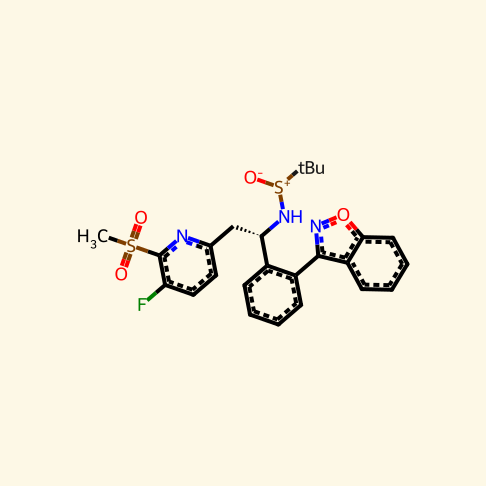 CC(C)(C)[S+]([O-])N[C@@H](Cc1ccc(F)c(S(C)(=O)=O)n1)c1ccccc1-c1noc2ccccc12